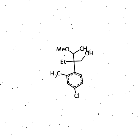 CCC(CO)(c1ccc(Cl)cc1C)C(C)OC